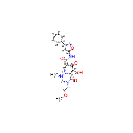 COCCN1CN(C)n2cc(C(=O)Nc3cc(-c4ccccc4)no3)c(=O)c(O)c2C1=O